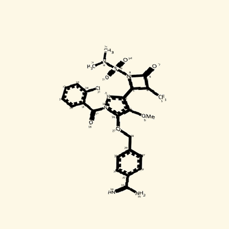 COc1c(C2C(C(F)(F)F)C(=O)N2S(=O)(=O)N(C)C)nn(C(=O)c2ccccc2Cl)c1OCc1ccc(C(=N)N)cc1